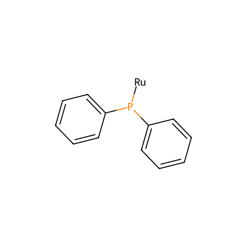 [Ru][P](c1ccccc1)c1ccccc1